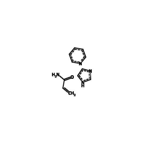 C=CC(N)=O.c1c[nH]cn1.c1ccncc1